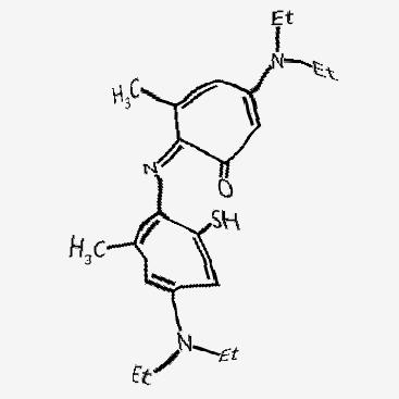 CCN(CC)C1=CC(=O)/C(=N\c2c(C)cc(N(CC)CC)cc2S)C(C)=C1